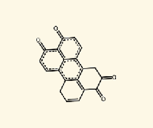 O=C1Cc2c3c(c4ccc(=O)c5c(=O)ccc2c4=5)CC=CC=3C1=O